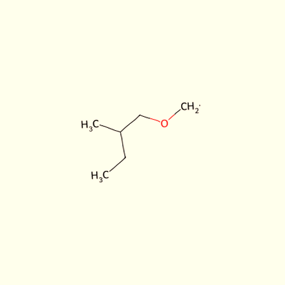 [CH2]OCC(C)CC